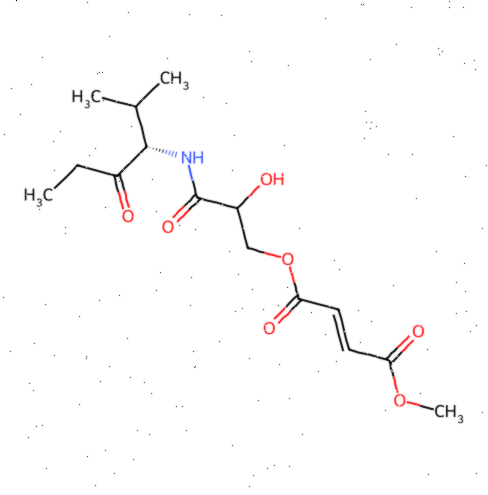 CCC(=O)[C@@H](NC(=O)C(O)COC(=O)/C=C/C(=O)OC)C(C)C